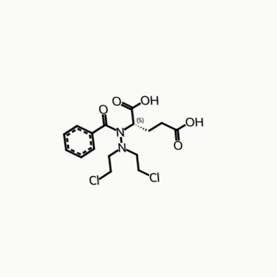 O=C(O)CC[C@@H](C(=O)O)N(C(=O)c1ccccc1)N(CCCl)CCCl